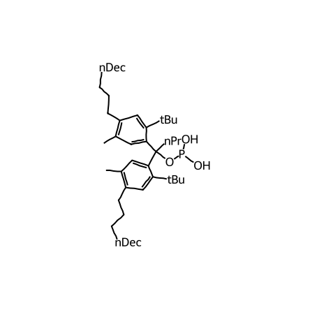 CCCCCCCCCCCCCc1cc(C(C)(C)C)c(C(CCC)(OP(O)O)c2cc(C)c(CCCCCCCCCCCCC)cc2C(C)(C)C)cc1C